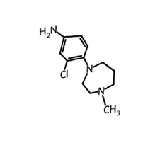 CN1CCCN(c2ccc(N)cc2Cl)CC1